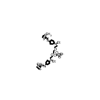 CCN(CCOCCOCCN(CC)c1ccc(/N=N/c2scc[n+]2C)cc1)c1ccc(/N=N/c2scc[n+]2C)cc1.[Cl][Zn-2]([Cl])([Cl])[Cl]